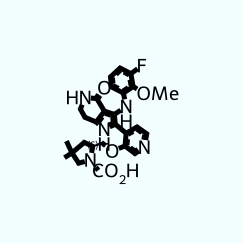 COc1c(F)cccc1Nc1c(-c2ccncc2OC[C@@H]2CC(C)(C)CN2C(=O)O)[nH]c2c1C(=O)NCC2